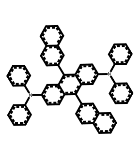 c1ccc(N(c2ccccc2)c2ccc3c(-c4ccc5ccccc5c4)c4cc(N(c5ccccc5)c5ccccc5)ccc4c(-c4ccc5ccccc5c4)c3c2)cc1